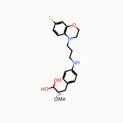 CO[C@@H](Cc1ccc(NCCCN2CCOc3cc(F)ccc32)cc1)C(O)O